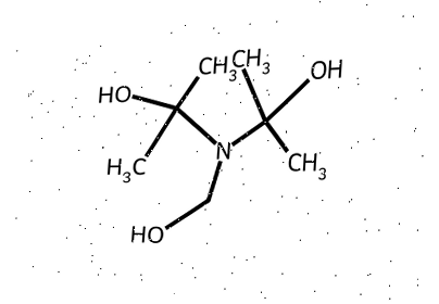 CC(C)(O)N(CO)C(C)(C)O